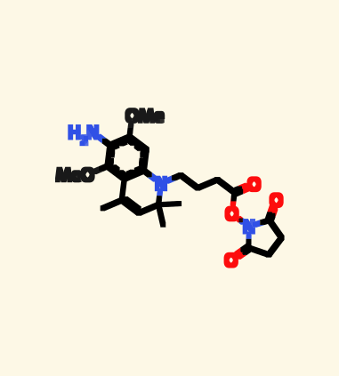 COc1cc2c(c(OC)c1N)C(C)=CC(C)(C)N2CCCC(=O)ON1C(=O)CCC1=O